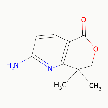 CC1(C)COC(=O)c2ccc(N)nc21